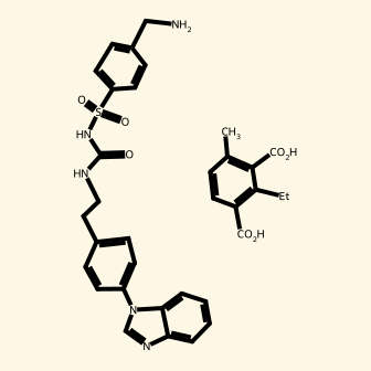 CCc1c(C(=O)O)ccc(C)c1C(=O)O.NCc1ccc(S(=O)(=O)NC(=O)NCCc2ccc(-n3cnc4ccccc43)cc2)cc1